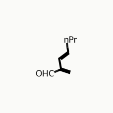 C=C(C=O)C=CCCC